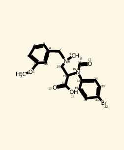 COc1cccc(CN(C)CC(C(=O)O)N(C=O)c2ccc(Br)cc2)c1